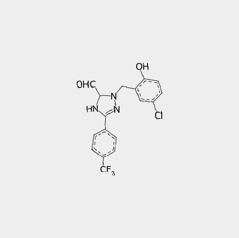 O=CC1NC(c2ccc(C(F)(F)F)cc2)=NN1Cc1cc(Cl)ccc1O